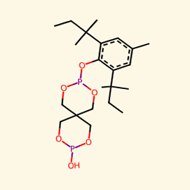 CCC(C)(C)c1cc(C)cc(C(C)(C)CC)c1OP1OCC2(COP(O)OC2)CO1